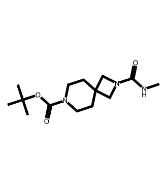 CNC(=O)N1CC2(CCN(C(=O)OC(C)(C)C)CC2)C1